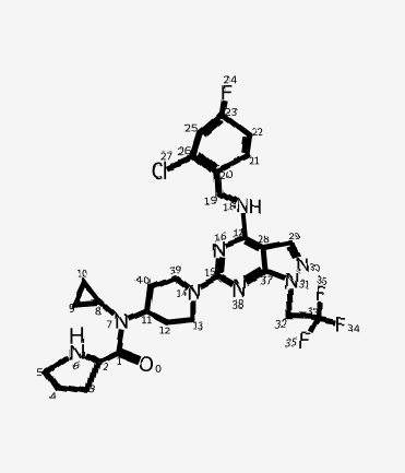 O=C(C1CCCN1)N(C1CC1)C1CCN(c2nc(NCc3ccc(F)cc3Cl)c3cnn(CC(F)(F)F)c3n2)CC1